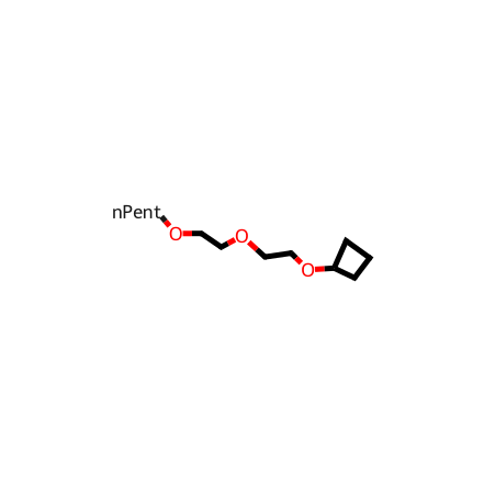 CCCCCOCCOCCOC1CCC1